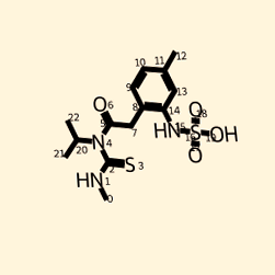 CNC(=S)N(C(=O)Cc1ccc(C)cc1NS(=O)(=O)O)C(C)C